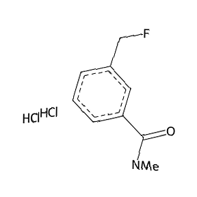 CNC(=O)c1cccc(CF)c1.Cl.Cl